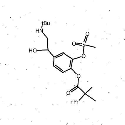 CCCC(C)(C)C(=O)Oc1ccc(C(O)CNC(C)(C)C)cc1OS(C)(=O)=O